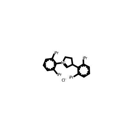 CC(C)c1cccc(C(C)C)c1C1C=[N+](c2c(C(C)C)cccc2C(C)C)CC1.[Cl-]